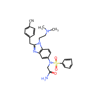 CN(C)CCn1c(Cc2ccc(C#N)cc2)nc2cc(N(CC(N)=O)S(=O)(=O)c3ccccc3)ccc21